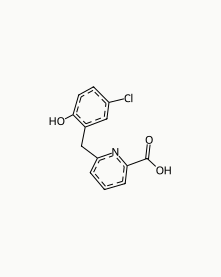 O=C(O)c1cccc(Cc2cc(Cl)ccc2O)n1